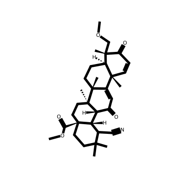 COC[C@]1(C)C(=O)C=C[C@]2(C)C3=CC(=O)[C@@H]4[C@@H]5C(C#N)C(C)(C)CC[C@]5(C(=O)OC)CC[C@@]4(C)[C@]3(C)CC[C@H]21